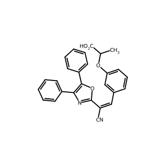 CC(Oc1cccc(C=C(C#N)c2nc(-c3ccccc3)c(-c3ccccc3)o2)c1)C(=O)O